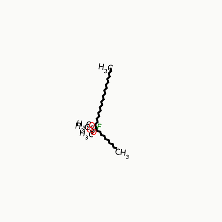 CCCCCCCCCCCCCCCCCCCCCC(F)(CCCCCCCCCCC)[Si](OC)(OC)OC